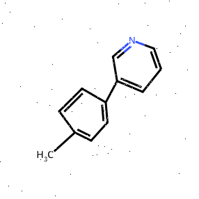 Cc1ccc(-c2cc[c]nc2)cc1